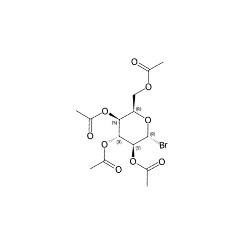 CC(=O)OC[C@H]1O[C@H](Br)[C@@H](OC(C)=O)[C@H](OC(C)=O)[C@H]1OC(C)=O